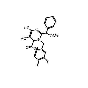 COC(C1=NC(O)=C(O)C(C(N)=O)N1Cc1ccc(F)c(F)c1)c1ccccc1